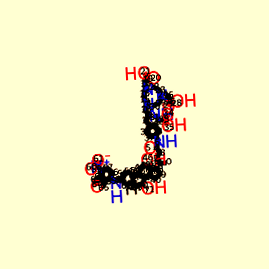 CC(CCC(=O)Nc1ccc(CC(CN2CCN(CC(=O)O)CCN(CC(=O)O)CC2)NCC(=O)O)cc1)[C@H]1CCC2C3C(C[C@H](O)[C@@]21C)[C@@]1(C)CC[C@@H](Nc2ccc([N+](=O)[O-])c4cocc24)C[C@H]1C[C@H]3O